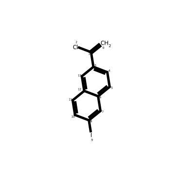 C=C(Cl)c1ccc2cc(I)ccc2c1